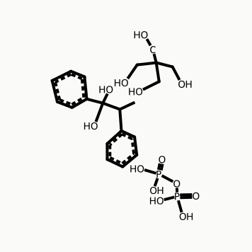 CC(c1ccccc1)C(O)(O)c1ccccc1.O=P(O)(O)OP(=O)(O)O.OCC(CO)(CO)CO